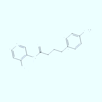 COc1ccc(CCCC(=O)Nc2cnccc2C(=O)O)cc1